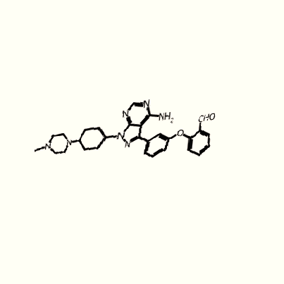 CN1CCN(C2CCC(n3nc(-c4cccc(Oc5ccccc5C=O)c4)c4c(N)ncnc43)CC2)CC1